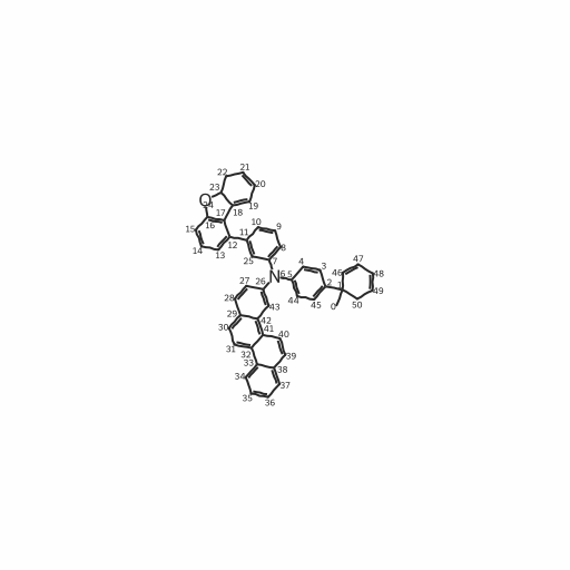 CC1(c2ccc(N(c3cccc(-c4cccc5c4C4=CC=CCC4O5)c3)c3ccc4ccc5c6ccccc6ccc5c4c3)cc2)C=CC=CC1